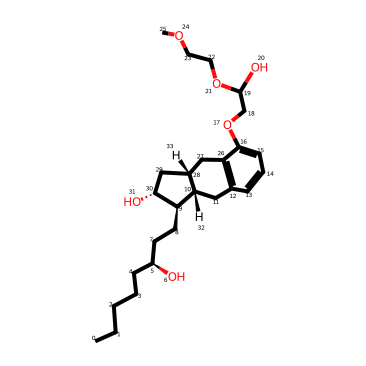 CCCCC[C@H](O)CC[C@@H]1[C@H]2Cc3cccc(OCC(O)OCCOC)c3C[C@H]2C[C@H]1O